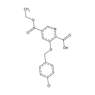 CCOC(=O)c1cnc(C(=O)O)c(OCc2ccc(Cl)cc2)c1